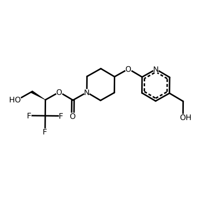 O=C(O[C@H](CO)C(F)(F)F)N1CCC(Oc2ccc(CO)cn2)CC1